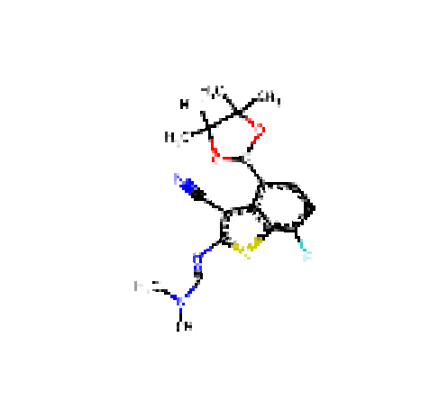 CN(C)/C=N/c1sc2c(F)ccc(B3OC(C)(C)C(C)(C)O3)c2c1C#N